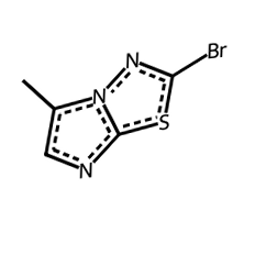 Cc1cnc2sc(Br)nn12